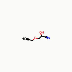 C#CCOCC(O)C#N